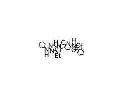 CCc1cc(-c2ccc(NS(=O)(=O)c3ccccc3F)nc2C)nc2cnc(NC3CCCCC3)nc12